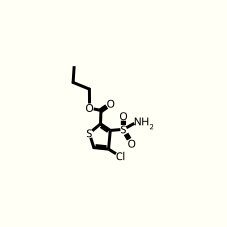 CCCOC(=O)c1scc(Cl)c1S(N)(=O)=O